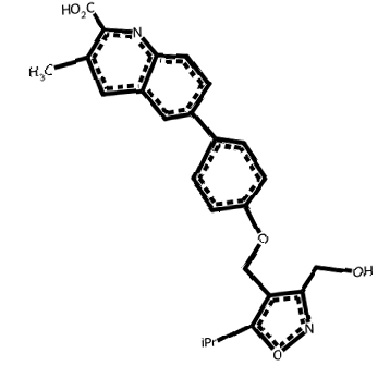 Cc1cc2cc(-c3ccc(OCc4c(CO)noc4C(C)C)cc3)ccc2nc1C(=O)O